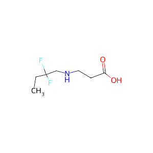 CCC(F)(F)CNCCC(=O)O